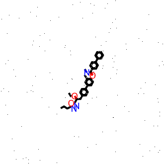 CCCc1nnc(C(Cc2ccc(-c3cccc(CN(C)C(=O)c4ccc(-c5ccccc5)cc4)c3)cc2)OCC)o1